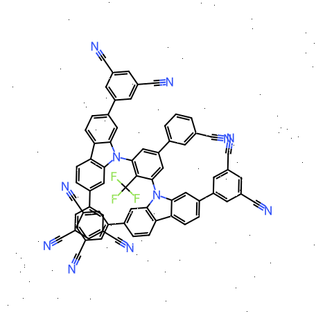 N#Cc1cccc(-c2cc(-n3c4cc(-c5cc(C#N)cc(C#N)c5)ccc4c4ccc(-c5cc(C#N)cc(C#N)c5)cc43)c(C(F)(F)F)c(-n3c4cc(-c5cc(C#N)cc(C#N)c5)ccc4c4ccc(-c5cc(C#N)cc(C#N)c5)cc43)c2)c1